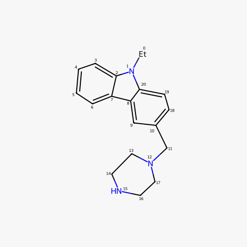 CCn1c2ccccc2c2cc(CN3CCNCC3)ccc21